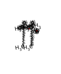 CCCCCCCCCCCCCCCC[N+](C)(C)C(Cc1ccccc1)c1ccccc1.CCCCCCCCCCCCCCCC[N+](C)(C)C(Cc1ccccc1)c1ccccc1.O=S(=O)([O-])[O-]